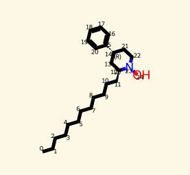 CCCCCCCCCCCC[C@H]1C[C@H](c2ccccc2)CCN1O